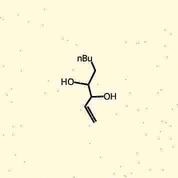 C=CC(O)C(O)CCCCC